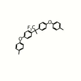 Cc1ccc(Oc2ccc(C(C)(c3ccc(Oc4ccc(C)cc4)cc3)C(F)(F)F)cc2)cc1